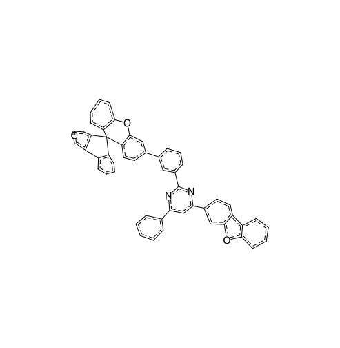 c1ccc(-c2cc(-c3ccc4c(c3)oc3ccccc34)nc(-c3cccc(-c4ccc5c(c4)Oc4ccccc4C54c5ccccc5-c5ccccc54)c3)n2)cc1